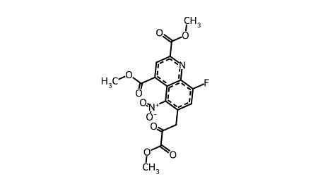 COC(=O)C(=O)Cc1cc(F)c2nc(C(=O)OC)cc(C(=O)OC)c2c1[N+](=O)[O-]